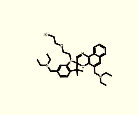 CCN(CC)Cc1ccc2c(c1)N(CCOCCBr)C1(C=Nc3c(c(CN(CC)CC)cc4ccccc34)O1)C2(C)C